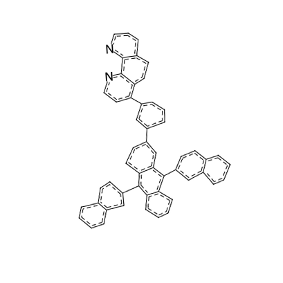 c1cc(-c2ccc3c(-c4ccc5ccccc5c4)c4ccccc4c(-c4ccc5ccccc5c4)c3c2)cc(-c2ccnc3c2ccc2cccnc23)c1